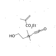 C=C(C)C(=O)OCC.C[N+](C)(C#P=O)CCO